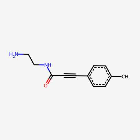 Cc1ccc(C#CC(=O)NCCN)cc1